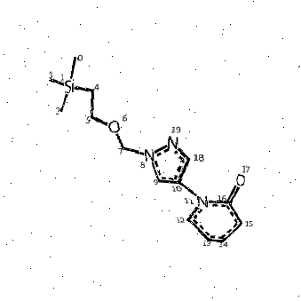 C[Si](C)(C)CCOCn1cc(-n2ccccc2=O)cn1